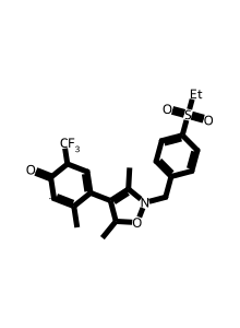 CCS(=O)(=O)c1ccc(CN2OC(C)C(C3=CC(C(F)(F)F)C(=O)[C]=C3C)=C2C)cc1